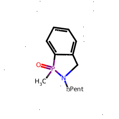 CCCCCN1Cc2ccccc2P1(C)=O